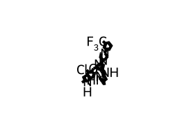 Cc1cc(Nc2cc(N3CCN(c4cccc(C(F)(F)F)c4)CC3)nc(Oc3ccc4[nH]c(C)cc4c3Cl)n2)n[nH]1